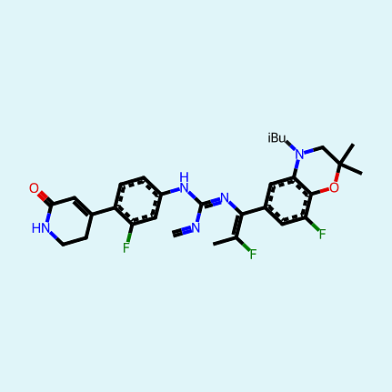 C=N/C(=N\C(=C(/C)F)c1cc(F)c2c(c1)N(C(C)CC)CC(C)(C)O2)Nc1ccc(C2=CC(=O)NCC2)c(F)c1